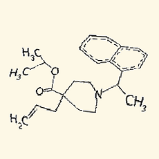 C=CCC1(C(=O)OC(C)C)CCN(C(C)c2cccc3ccccc23)CC1